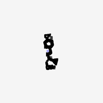 COC[C@H](/N=C/c1ccc(C(F)(F)F)cn1)C1CC1